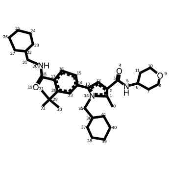 Cc1c(C(=O)NC2CCOCC2)cc(-c2ccc(C(=O)NCC3CCCCC3)c(C(C)(C)C)c2)n1CC1CCCCC1